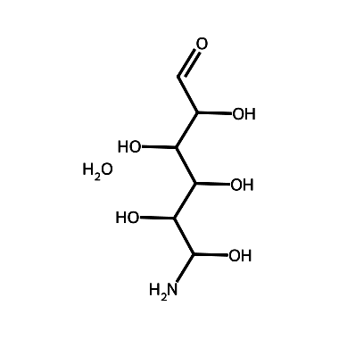 NC(O)C(O)C(O)C(O)C(O)C=O.O